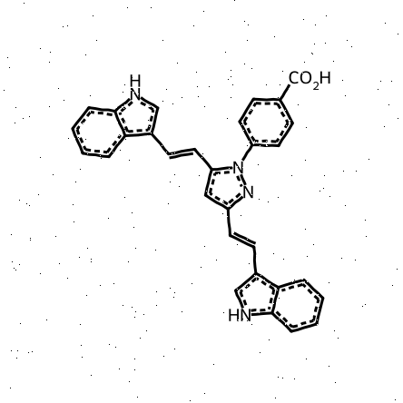 O=C(O)c1ccc(-n2nc(/C=C/c3c[nH]c4ccccc34)cc2/C=C/c2c[nH]c3ccccc23)cc1